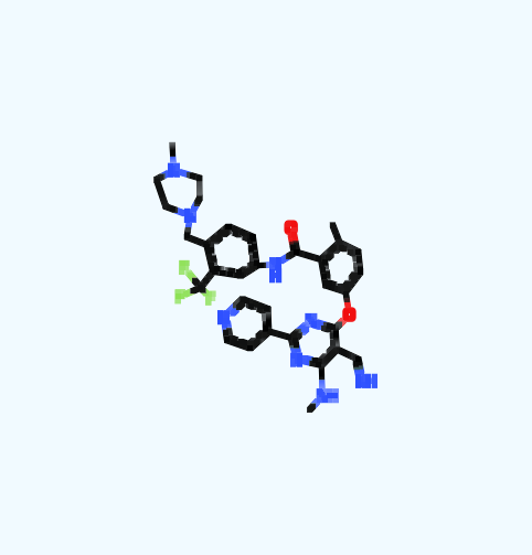 CNc1nc(-c2ccncc2)nc(Oc2ccc(C)c(C(=O)Nc3ccc(CN4CCN(C)CC4)c(C(F)(F)F)c3)c2)c1C=N